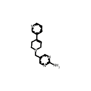 Nc1ncc(CN2CC=C(c3cccnc3)CC2)cn1